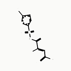 O=C(O)C=C(O)C(=O)NS(=O)(=O)c1ccc(Cl)s1